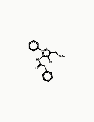 COCc1nn(-c2ccccc2)c(NC(=O)Oc2ccccc2)c1Br